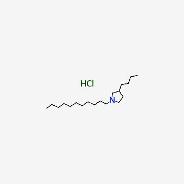 CCCCCCCCCCCN1CCC(CCCC)C1.Cl